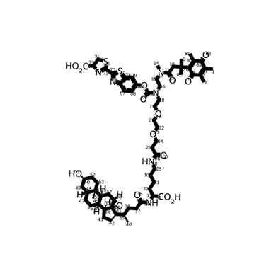 CC1=C(C)C(=O)C(C(C)(C)CC(=O)N(C)CCN(CCOCCOCCC(=O)NCCCCC(NC(=O)CC[C@@H](C)[C@H]2CC[C@H]3[C@@H]4CC[C@@H]5C[C@H](O)CC[C@]5(C)[C@H]4C[C@@H]4O[C@@]423)C(=O)O)C(=O)Oc2ccc3nc(C4=NC(C(=O)O)CS4)sc3c2)=C(C)C1=O